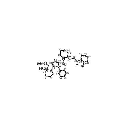 COC[C@]1(O)CCCC[C@H]1n1cnc(C(=O)N2CCNC[C@H]2CCNc2ccccc2F)c1-c1ccccc1